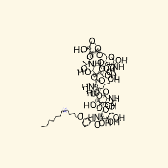 CCCCCC/C=C\CCCOc1cccc(C(=O)N[C@@H]2C(O[C@H]3C(O)C(NC(C)=O)[C@H](OC4C(CO)O[C@@H](O[C@H]5C(O)C(NC(C)=O)C(OC6C(CO[C@@H]7OC8OC8[C@H](O)[C@H]7OC)OC(O)[C@@H](NC(C)=O)[C@@H]6O)O[C@H]5CO)[C@@H](NC(C)=O)[C@@H]4O)O[C@H]3CO)OC(CO)[C@@H](O)[C@@H]2O)c1